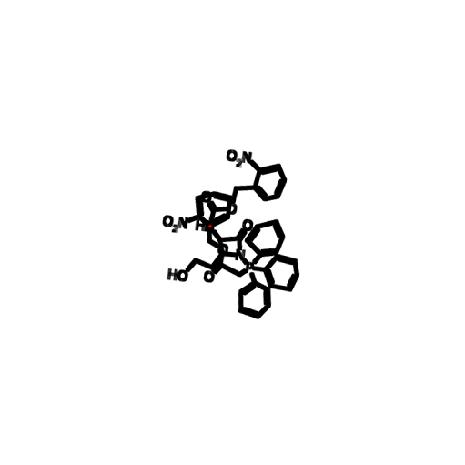 O=C(CP(c1ccccc1)(c1ccccc1)(c1ccccc1)N1C(=O)C(NC(=O)OCc2ccccc2[N+](=O)[O-])C1CCO)OCc1ccccc1[N+](=O)[O-]